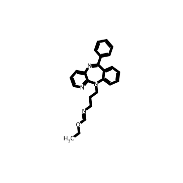 CCOC=NCCCN1c2ccccc2C(c2ccccc2)=Nc2cccnc21